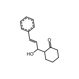 O=C1CCCCC1C(O)/C=C/c1ccccc1